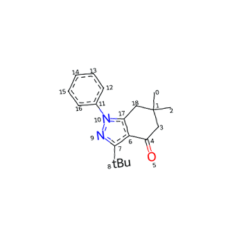 CC1(C)CC(=O)c2c(C(C)(C)C)nn(-c3ccccc3)c2C1